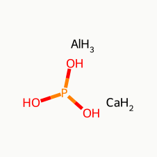 OP(O)O.[AlH3].[CaH2]